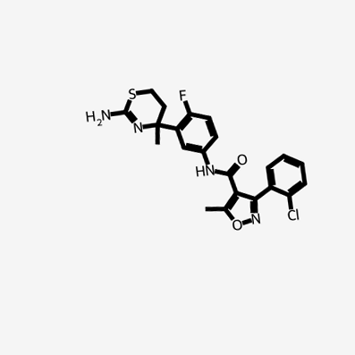 Cc1onc(-c2ccccc2Cl)c1C(=O)Nc1ccc(F)c(C2(C)CCSC(N)=N2)c1